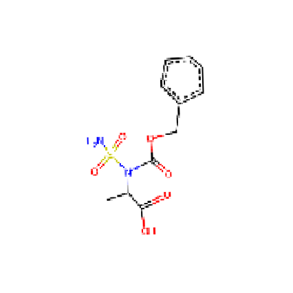 CC(C(=O)O)N(C(=O)OCc1ccccc1)S(N)(=O)=O